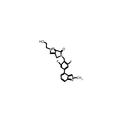 Cn1cc2c(-c3cc(F)c(CN4Cc5cn(CCO)nc5C4=O)c(F)c3)cccc2n1